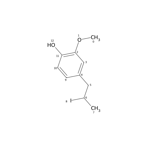 COc1cc(CC(C)I)ccc1O